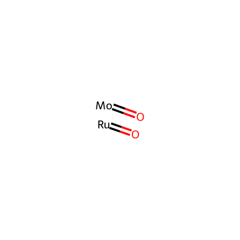 [O]=[Mo].[O]=[Ru]